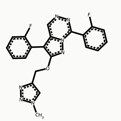 Cn1cc(COc2nn3c(-c4ccccc4F)nncc3c2-c2ccccc2F)nn1